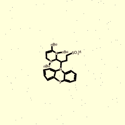 CCCCC1=CCN(CCCC)C(C(CCS(=O)(=O)O)N2c3ccccc3Sc3ccccc32)N1CCCC